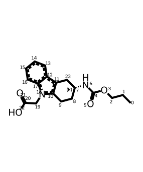 CCCOC(=O)N[C@@H]1CCc2c(c3ccccc3n2CC(=O)O)C1